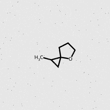 CC1CC12CCCO2